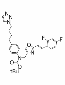 CC(C)(C)OC(=O)N(Cc1coc(C=Cc2ccc(F)cc2F)n1)c1ccc(CCCCn2ccnn2)cc1